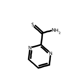 NC(=S)c1ncccn1